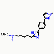 Cn1ccc(-c2ccc(-c3cnc(CCCCCCNC=O)[nH]3)cc2)n1